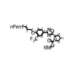 CCCCC/C=C/COc1ccc(-c2noc([C@@H]3CCCN3C(=O)OC(C)(C)C)n2)cc1C(F)(F)F